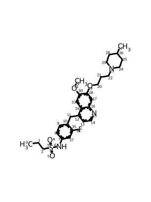 CCCS(=O)(=O)Nc1ccc(Cc2ccnc3cc(OCCCN4CCC(C)CC4)c(OC)cc23)c(F)c1